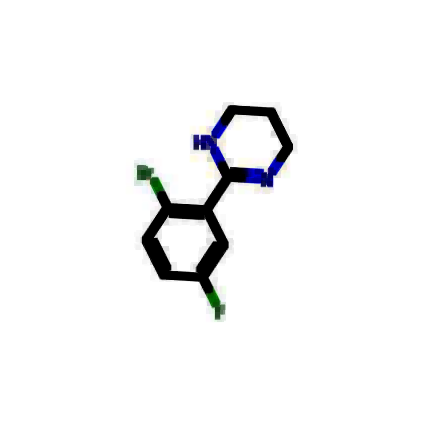 Fc1ccc(Br)c(C2=NCCCN2)c1